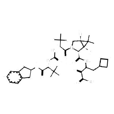 CC(C)(C)[C@@H](NC(=O)N[C@@H](C(=O)N1C[C@H]2[C@@H]([C@H]1C(=O)NC(CC1CCC1)C(=O)C(N)=O)C2(C)C)C(C)(C)C)C(=O)OC1Cc2ccccc2C1